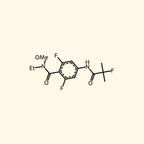 CCN(OC)C(=O)c1c(F)cc(NC(=O)C(C)(C)F)cc1F